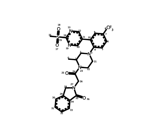 CC1CN(c2ccc(C(F)(F)F)cc2-c2cnc(S(C)(=O)=O)nc2)CCN1C(=O)CN1Cc2ccccc2C1=O